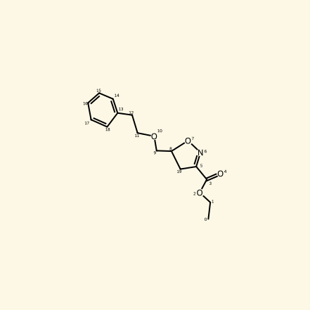 CCOC(=O)C1=NOC(COCCc2ccccc2)C1